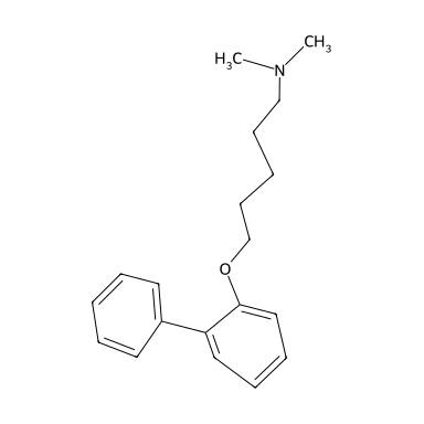 CN(C)CCCCCOc1ccccc1-c1ccccc1